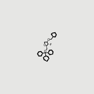 F[C@H]1[C@H](OCc2ccccc2)CO[C@@H]1COC(c1ccccc1)(c1ccccc1)c1ccccc1